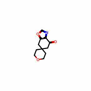 O=C1CC2(CCOCC2)Cc2ocnc21